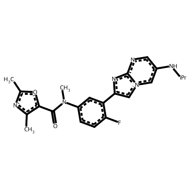 Cc1nc(C)c(C(=O)N(C)c2ccc(F)c(-c3cn4cc(NC(C)C)cnc4n3)c2)o1